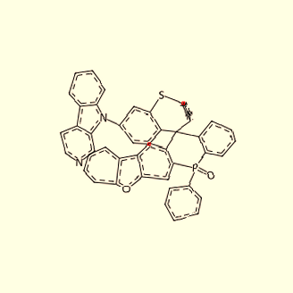 O=P1(c2ccccc2)c2ccccc2C2(c3ccccc3Sc3cc(-n4c5ccccc5c5ccncc54)ccc32)c2cc3c(cc21)oc1ccccc13